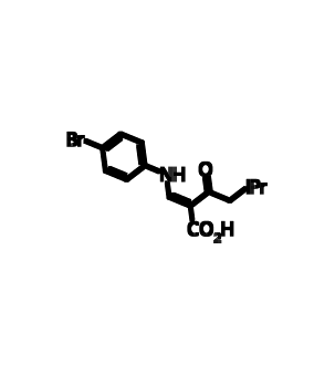 CC(C)CC(=O)C(=CNc1ccc(Br)cc1)C(=O)O